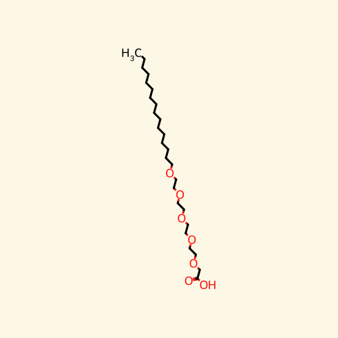 CCCCCCCCCCCCCCCCOCCOCCOCCOCCOCC(=O)O